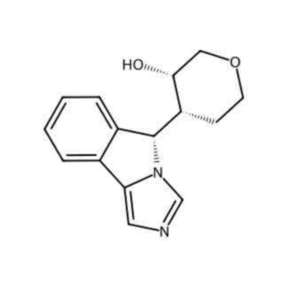 O[C@@H]1COCC[C@@H]1[C@H]1c2ccccc2-c2cncn21